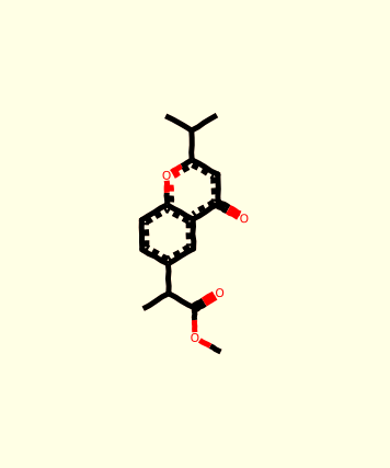 COC(=O)C(C)c1ccc2oc(C(C)C)cc(=O)c2c1